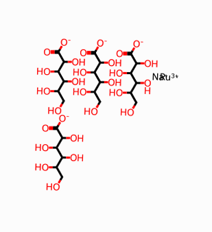 O=C([O-])C(O)C(O)C(O)C(O)CO.O=C([O-])C(O)C(O)C(O)C(O)CO.O=C([O-])C(O)C(O)C(O)C(O)CO.O=C([O-])C(O)C(O)C(O)C(O)CO.[Na+].[Ru+3]